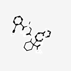 CN(CC(=O)OC1CCCCC1(C(N)=S)c1ccc2nccn2c1)C(=O)c1ccccc1C#N